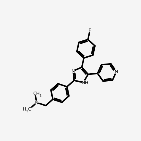 CN(C)Cc1ccc(-c2nc(-c3ccc(F)cc3)c(-c3ccncc3)[nH]2)cc1